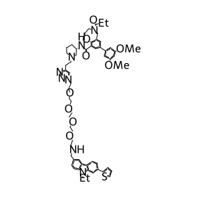 CCC(=O)N1CCOc2c(cc(-c3cc(OC)cc(OC)c3)cc2C(=O)N[C@H]2CCCN(CCc3cn(CCOCCOCCOCCOCCNCc4ccc5c(c4)c4ccc(-c6cccs6)cc4n5CC)nn3)C2)C1